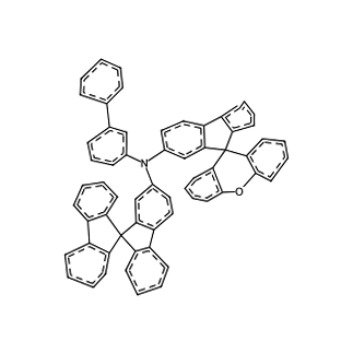 c1ccc(-c2cccc(N(c3ccc4c(c3)C3(c5ccccc5Oc5ccccc53)c3ccccc3-4)c3ccc4c(c3)C3(c5ccccc5-c5ccccc53)c3ccccc3-4)c2)cc1